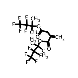 C=C(CC(=O)OC(C)(C)C(F)(F)C(F)(F)F)C(=O)OC(C)(C)C(F)(F)C(F)(F)F